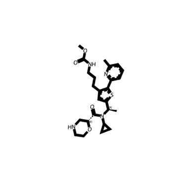 COC(=O)NCCCc1cc([C@@H](C)N(C(=O)[C@H]2CNCCO2)C2CC2)sc1-c1cccc(C)n1